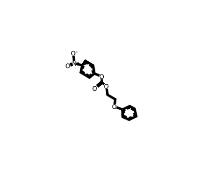 O=C(OCCOc1ccccc1)Oc1ccc([N+](=O)[O-])cc1